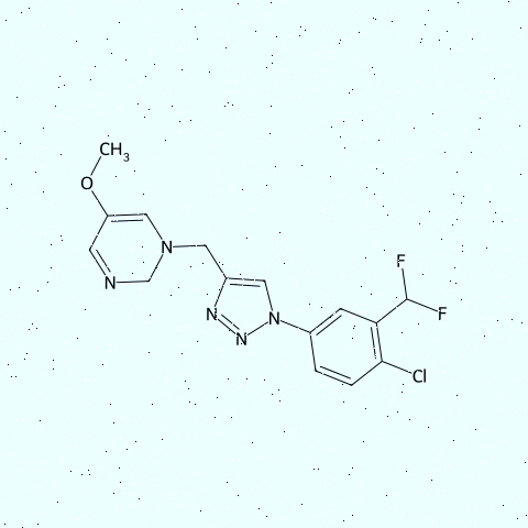 COC1=CN(Cc2cn(-c3ccc(Cl)c(C(F)F)c3)nn2)CN=C1